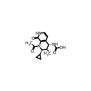 CC(=O)N1c2c(cc[nH]c2=O)[C@H](NC(=O)O)[C@@H](C)[C@H]1C1CC1